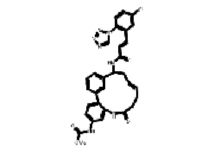 COC(=O)Nc1ccc2c(c1)NC(=O)CC/C=C/CC(NC(=O)/C=C/c1cc(Cl)ccc1-n1cnnn1)c1cccc-2c1